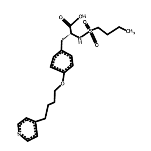 CCCCS(=O)(=O)N[C@H](Cc1ccc(OCCCCc2ccncc2)cc1)C(=O)O